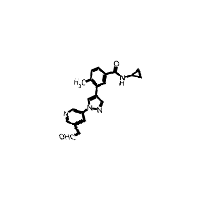 Cc1ccc(C(=O)NC2CC2)cc1-c1cnn(-c2cncc(CC=O)c2)c1